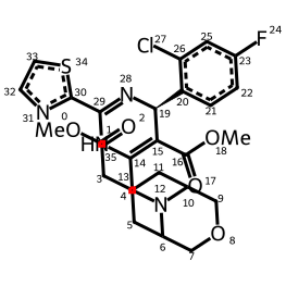 COC(=O)CC1CC2COCC(C1)N2CC1=C(C(=O)OC)[C@H](c2ccc(F)cc2Cl)N=C(c2nccs2)N1